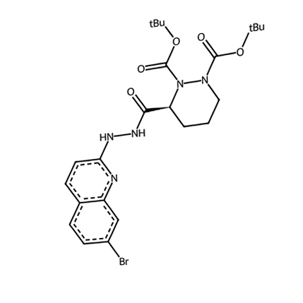 CC(C)(C)OC(=O)N1CCC[C@@H](C(=O)NNc2ccc3ccc(Br)cc3n2)N1C(=O)OC(C)(C)C